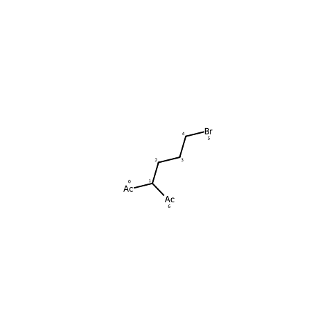 CC(=O)C(CCCBr)C(C)=O